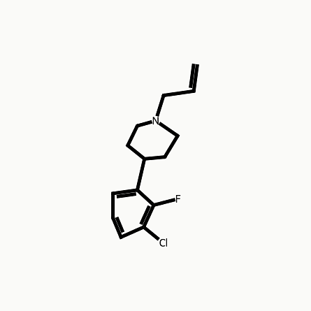 C=CCN1CCC(c2cccc(Cl)c2F)CC1